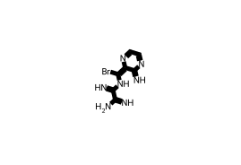 N=C(N)C(=N)N/C(Br)=C1/N=CC=NC1=N